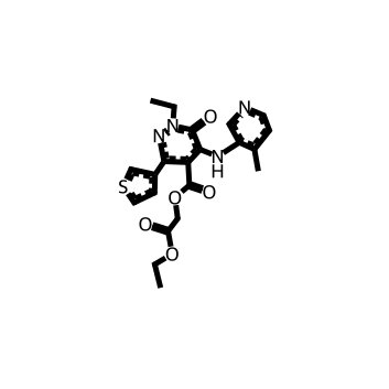 CCOC(=O)COC(=O)c1c(-c2ccsc2)nn(CC)c(=O)c1Nc1cnccc1C